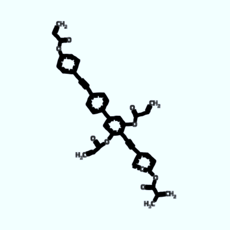 C=CC(=O)Oc1ccc(C#Cc2ccc(-c3cc(OC(=O)C=C)c(C#Cc4ccc(OC(=O)C(=C)C)cc4)c(OC(=O)C=C)c3)cc2)cc1